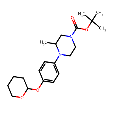 CC1CN(C(=O)OC(C)(C)C)CCN1c1ccc(OC2CCCCO2)cc1